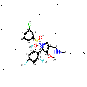 CNCc1cn(S(=O)(=O)c2cccc(Cl)c2)c(-c2c(F)cc(F)cc2F)c1OC